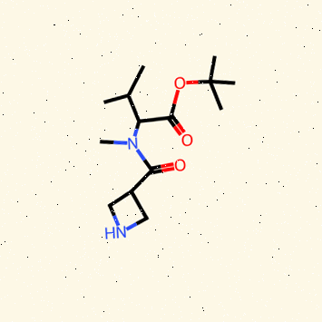 CC(C)C(C(=O)OC(C)(C)C)N(C)C(=O)C1CNC1